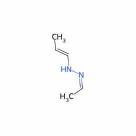 CC=CN/N=C\C